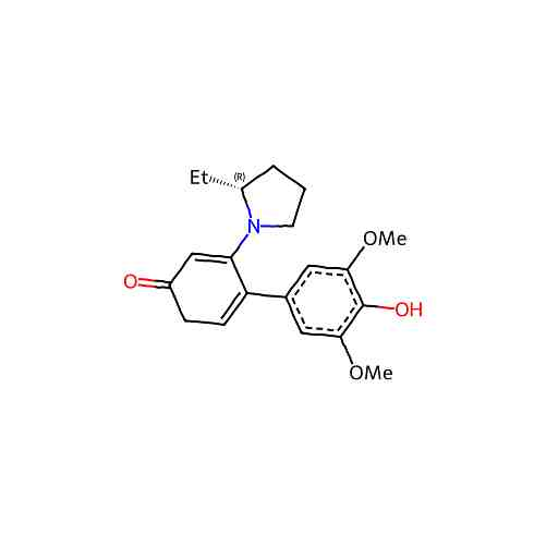 CC[C@@H]1CCCN1C1=CC(=O)CC=C1c1cc(OC)c(O)c(OC)c1